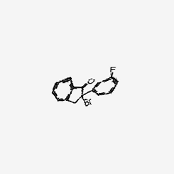 O=C1c2ccccc2CC1(Br)c1cccc(F)c1